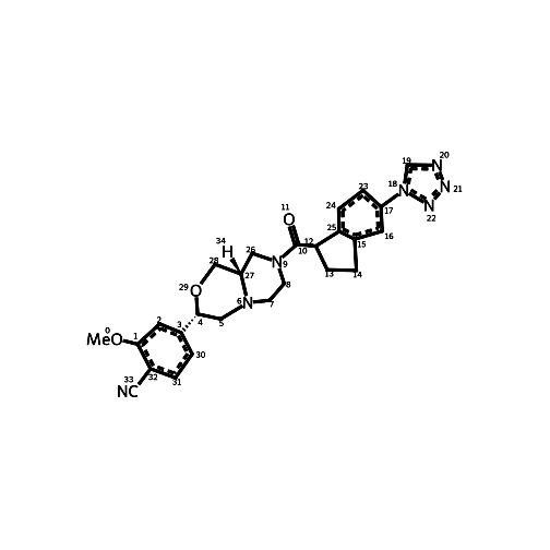 COc1cc([C@H]2CN3CCN(C(=O)C4CCc5cc(-n6cnnn6)ccc54)C[C@H]3CO2)ccc1C#N